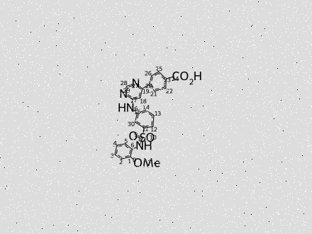 COc1ccccc1NS(=O)(=O)c1cccc(Nc2cc(-c3ccc(C(=O)O)cc3)ncn2)c1